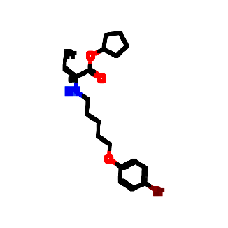 CC(C)C[C@H](NCCCCCOc1ccc(Br)cc1)C(=O)OC1CCCC1